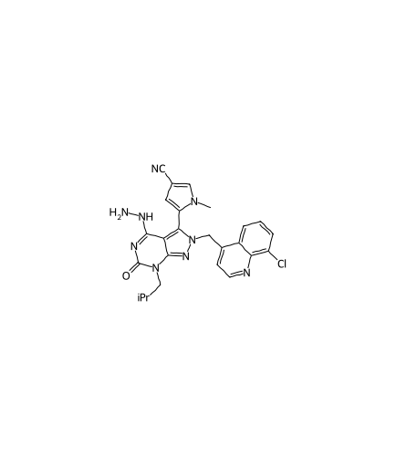 CC(C)Cn1c(=O)nc(NN)c2c(-c3cc(C#N)cn3C)n(Cc3ccnc4c(Cl)cccc34)nc21